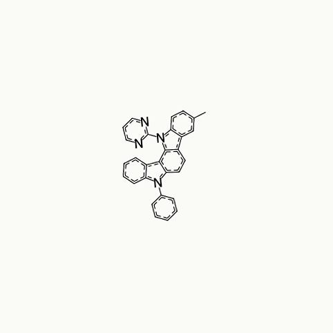 Cc1ccc2c(c1)c1ccc3c(c4ccccc4n3-c3ccccc3)c1n2-c1ncccn1